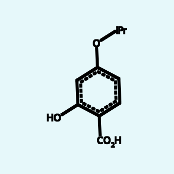 CC(C)Oc1ccc(C(=O)O)c(O)c1